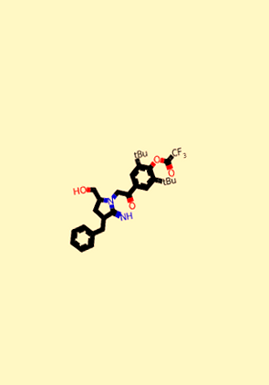 CC(C)(C)c1cc(C(=O)CN2C(=N)C(Cc3ccccc3)CC2CO)cc(C(C)(C)C)c1OC(=O)C(F)(F)F